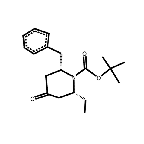 CC[C@@H]1CC(=O)C[C@H](Cc2ccccc2)N1C(=O)OC(C)(C)C